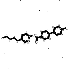 CCCCCc1ccc(OC(=O)c2ccc(-c3ccc(C)cc3)cc2)nc1